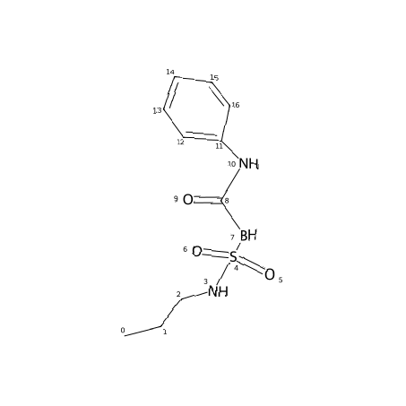 CCCNS(=O)(=O)BC(=O)Nc1ccccc1